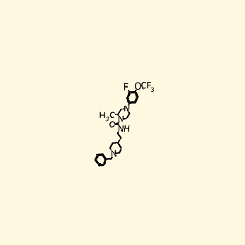 C[C@H]1CN(c2ccc(OC(F)(F)F)c(F)c2)CCN1C(=O)NCCC1CCN(Cc2ccccc2)CC1